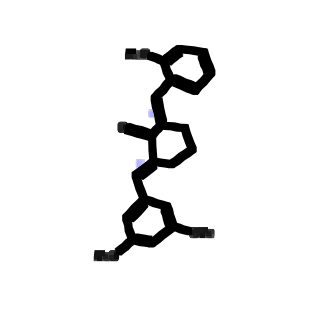 COc1cc(/C=C2\CCC/C(=C\c3ccccc3OC)C2=O)cc(OC)c1